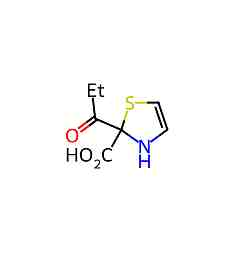 CCC(=O)C1(C(=O)O)NC=CS1